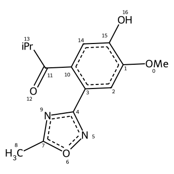 COc1cc(-c2noc(C)n2)c(C(=O)C(C)C)cc1O